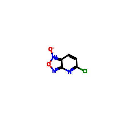 [O-][n+]1onc2nc(Cl)ccc21